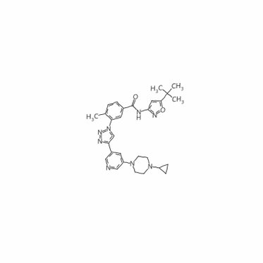 Cc1ccc(C(=O)Nc2cc(C(C)(C)C)on2)cc1-n1cc(-c2cncc(N3CCN(C4CC4)CC3)c2)nn1